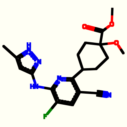 COC(=O)C1(OC)CCC(c2nc(Nc3cc(C)[nH]n3)c(F)cc2C#N)CC1